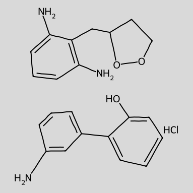 Cl.Nc1cccc(-c2ccccc2O)c1.Nc1cccc(N)c1CC1CCOO1